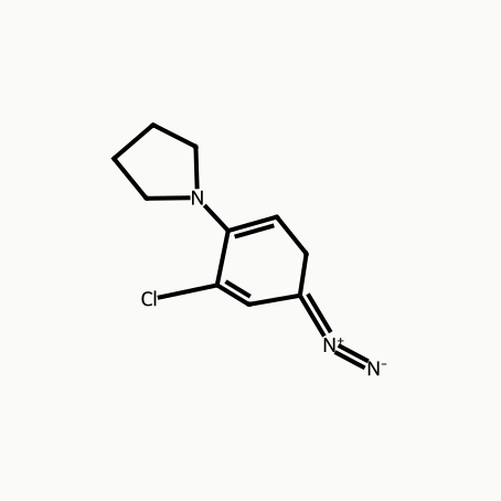 [N-]=[N+]=C1C=C(Cl)C(N2CCCC2)=CC1